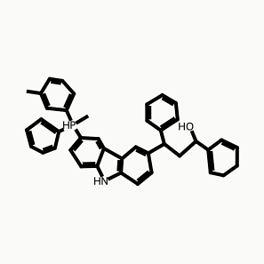 Cc1cccc([PH](C)(c2ccccc2)c2ccc3[nH]c4ccc(C(CC(O)C5=CCCC=C5)c5ccccc5)cc4c3c2)c1